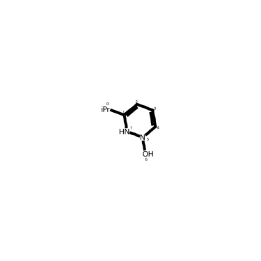 CC(C)C1=CC=CN(O)N1